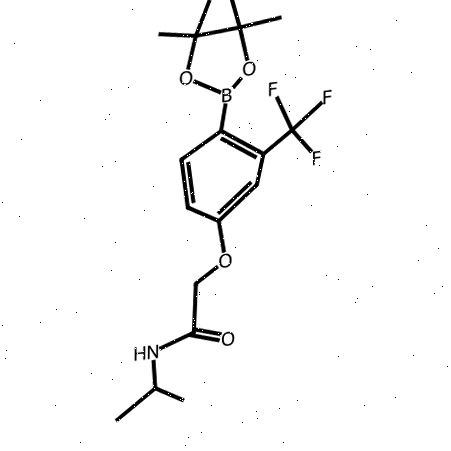 CC(C)NC(=O)COc1ccc(B2OC(C)(C)C(C)(C)O2)c(C(F)(F)F)c1